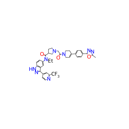 CCN(C(=O)C1CCN(CC(=O)N2CC=C(c3ccc(-c4nnc(C)o4)cc3)CC2)C1)c1ccc2[nH]nc(-c3ccnc(C(F)(F)F)c3)c2c1